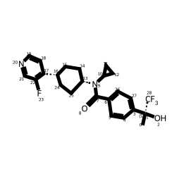 C[C@](O)(c1ccc(C(=O)N(C2CC2)[C@H]2CC[C@@H](c3ccncc3F)CC2)cc1)C(F)(F)F